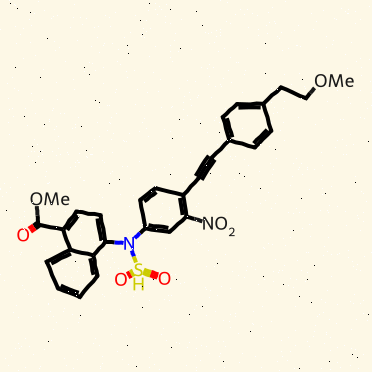 COCCc1ccc(C#Cc2ccc(N(c3ccc(C(=O)OC)c4ccccc34)[SH](=O)=O)cc2[N+](=O)[O-])cc1